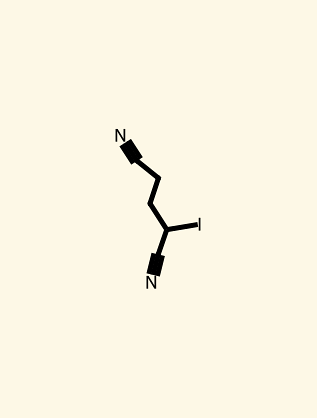 N#CCCC(I)C#N